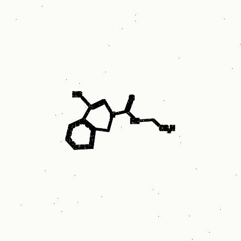 O=C(O)CNC(=O)N1C=C(O)c2ccccc2C1